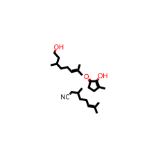 CC(C)=CCCC(C)CC#N.CC(C)=CCCC(C)CCO.CC1=C(O)C(=O)CC1